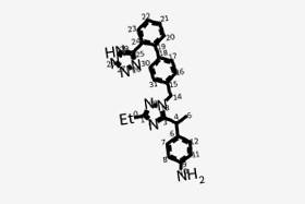 CCc1nc(C(C)c2ccc(N)cc2)n(Cc2ccc(-c3ccccc3-c3nnn[nH]3)cc2)n1